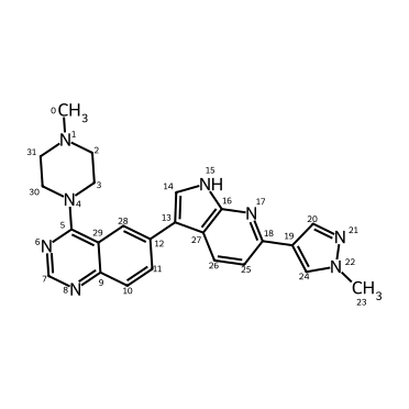 CN1CCN(c2ncnc3ccc(-c4c[nH]c5nc(-c6cnn(C)c6)ccc45)cc23)CC1